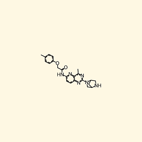 Cc1ccc(OCC(=O)Nc2ccc3nc(N4CC5CC4CN5)nc(C)c3n2)cc1